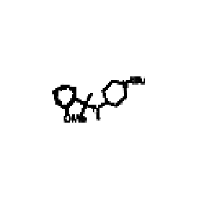 COc1ccccc1C(C)(C)N(C)C1CCN(C(C)(C)C)CC1